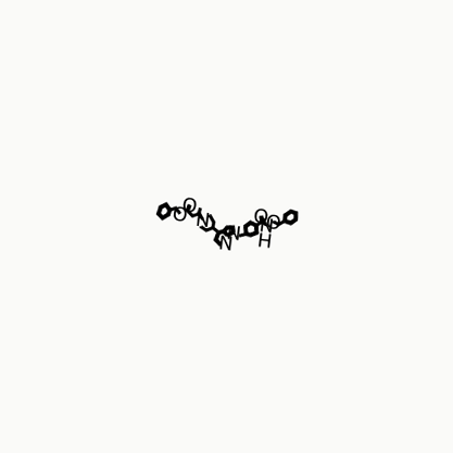 CC(CC(=O)OCc1ccccc1)N1CCC(c2ccnc3c2ccn3Cc2ccc(C(=O)NOCc3ccccc3)cc2)CC1